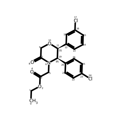 CCOC(=O)CN1C(=O)CO[C@@H](c2cccc(Cl)c2)[C@H]1c1ccc(Cl)cc1